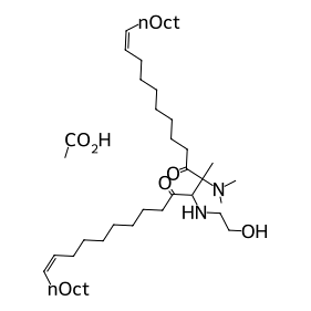 CC(=O)O.CCCCCCCC/C=C\CCCCCCCC(=O)C(NCCO)C(C)(C(=O)CCCCCCC/C=C\CCCCCCCC)N(C)C